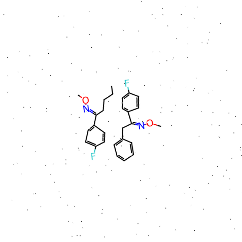 CCCCC(=NOC)c1ccc(F)cc1.CON=C(Cc1ccccc1)c1ccc(F)cc1